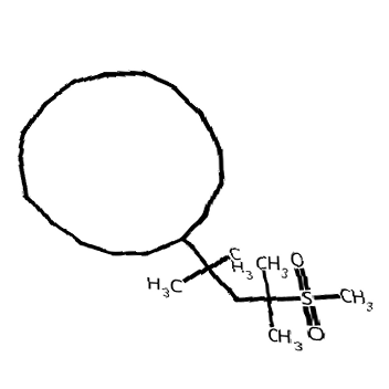 CC(C)(CC(C)(C)S(C)(=O)=O)C1CCCCCCCCCCCCCCCC1